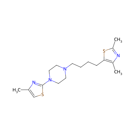 Cc1csc(N2CCN(CCCCc3sc(C)nc3C)CC2)n1